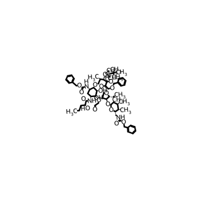 CCC[C@H](O)C(=O)N[C@@H]1C[C@H](NC(=O)OCc2ccccc2)[C@@H](O[C@H]2O[C@@H]3COC(c4ccccc4)O[C@H]3[C@H](O[Si](C)(C)C(C)(C)C)[C@H]2C)[C@H](O[C@@H]2O[C@H](CC)[C@@H](O[C@H]3O[C@@H](CNC(=O)OCc4ccccc4)[C@@H](C)[C@H](C)[C@H]3C)[C@H]2OCC=O)[C@H]1O